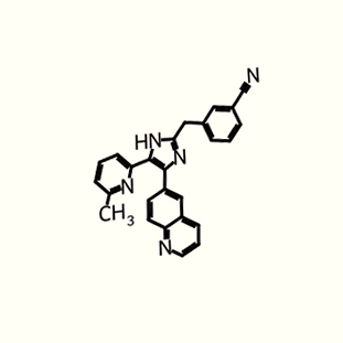 Cc1cccc(-c2[nH]c(Cc3cccc(C#N)c3)nc2-c2ccc3ncccc3c2)n1